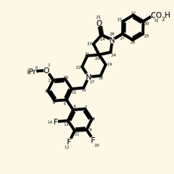 CC(C)Oc1ccc(-c2ccc(F)c(F)c2F)c(CN2CCC3(CC2)CC(=O)N(c2ccc(C(=O)O)cc2)C3)c1